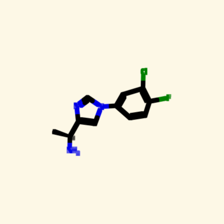 C[C@H](N)c1cn(-c2ccc(F)c(Cl)c2)cn1